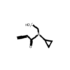 C=CC(=O)N(CC(=O)O)C1CC1